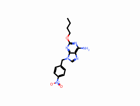 CCCCOc1nc(N)c2ncn(Cc3ccc([N+](=O)[O-])cc3)c2n1